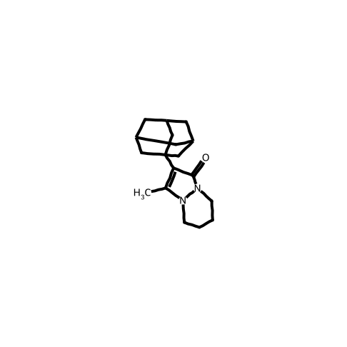 Cc1c(C23CC4CC(CC(C4)C2)C3)c(=O)n2n1CCCC2